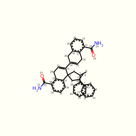 CC(CC1(CC(C)c2ccccc2)C(C2=CCc3c(cccc3C(N)=O)C2)=CCc2c(C(N)=O)cccc21)c1ccccc1